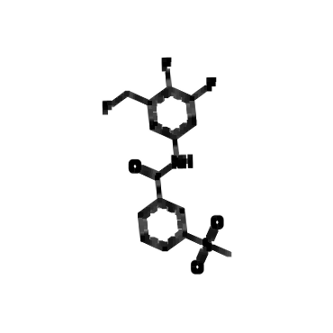 CS(=O)(=O)c1cccc(C(=O)Nc2cc(F)c(F)c(CF)c2)c1